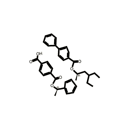 CCC(CC)C[C@@H](C)OC(=O)c1ccc(-c2ccccc2)cc1.C[C@@H](OC(=O)c1ccc(C(=O)O)cc1)c1ccccc1